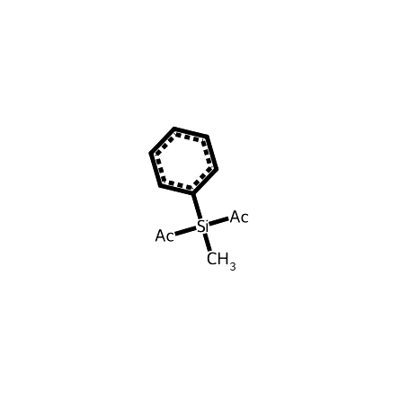 CC(=O)[Si](C)(C(C)=O)c1ccccc1